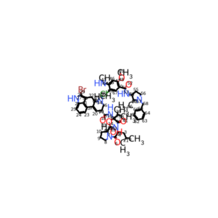 CC(C)C[C@H]1C(=O)N2CCC[C@H]2[C@]2(O)O[C@](NC(=O)[C@@H]3C=C4c5cccc6[nH]c(Br)c(c56)C[C@H]4N(C)C3)(C(C)C)C(=O)N12.CNc1cc(OC)c(C(=O)N[C@H]2CCN(Cc3ccccc3)[C@H]2C)cc1Cl